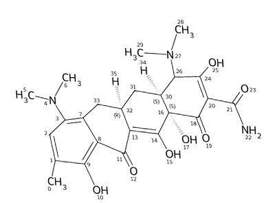 Cc1cc(N(C)C)c2c(c1O)C(=O)C1=C(O)[C@]3(O)C(=O)C(C(N)=O)=C(O)C(N(C)C)[C@@H]3C[C@@H]1C2